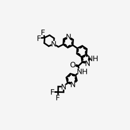 O=C(Nc1ccc(N2CC(F)(F)C2)nc1)c1n[nH]c2ccc(-c3cncc(CN4CCC(F)(F)CC4)c3)cc12